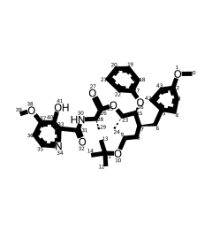 COc1ccc(C[C@@H](CCOC(C)(C)C)[C@@H](Oc2ccccc2)[C@H](C)OC(=O)[C@H](C)NC(=O)c2nccc(OC)c2O)cc1